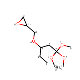 CCC(CC(OC)(OC)O[SiH3])OCC1CO1